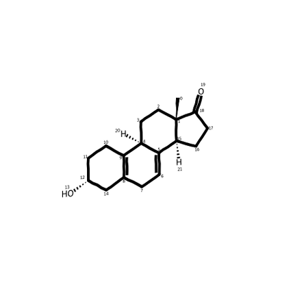 C[C@]12CC[C@H]3C(=CCC4=C3CC[C@@H](O)C4)[C@@H]1CCC2=O